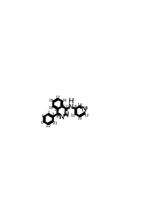 c1ccc(-c2nnc(Nc3cccnc3)c3ccccc23)cc1